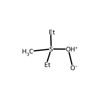 CCS(C)(CC)[OH+][O-]